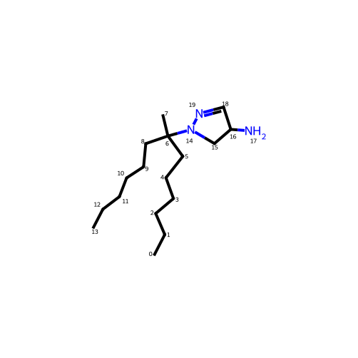 CCCCCCC(C)(CCCCCC)N1CC(N)C=N1